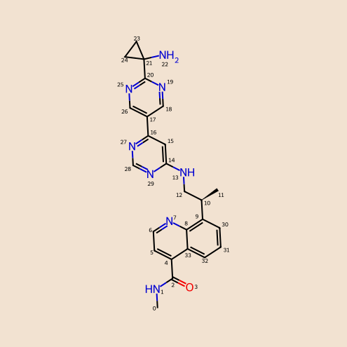 CNC(=O)c1ccnc2c([C@H](C)CNc3cc(-c4cnc(C5(N)CC5)nc4)ncn3)cccc12